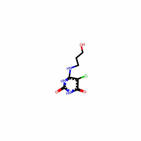 O=c1[nH]c(NCCCO)c(Cl)c(=O)[nH]1